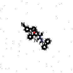 C=C/C(=C(C#N)\C=C(/C)N1c2ccccc2C2C=CC=CC21)c1cc2c(c(-c3ccccc3-n3c4ccccc4c4cc(C#N)ccc43)c1)C2